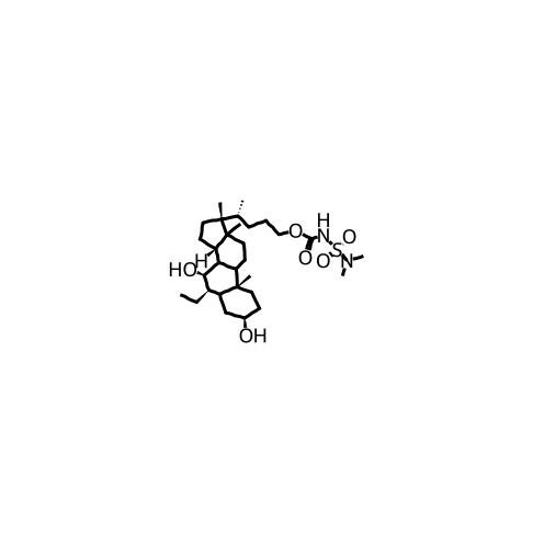 CC[C@@H]1C2C[C@H](O)CC[C@@]2(C)C2CCC3(C)[C@@H](CC[C@]3(C)[C@H](C)CCCOC(=O)NS(=O)(=O)N(C)C)C2[C@@H]1O